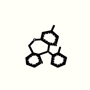 Cc1cnc2c(c1)OCc1cccnc1N2c1ccccc1C